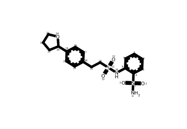 NS(=O)(=O)c1ccccc1NS(=O)(=O)CCc1ccc(C2CCCO2)cc1